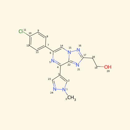 Cn1cc(-c2nc(-c3ccc(Cl)cc3)cn3nc(CCO)nc23)cn1